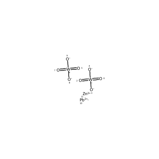 [O]=[W](=[O])([O-])[O-].[O]=[W](=[O])([O-])[O-].[Pb+2].[Zn+2]